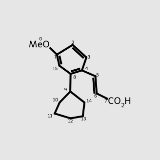 COc1ccc(C=CC(=O)O)c(C2CCCCC2)c1